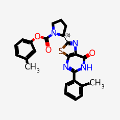 Cc1cccc(OC(=O)N2CCC[C@@H]2c2nc3c(=O)[nH]c(-c4ccccc4C)nc3s2)c1